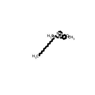 CCCCCCCCCCCCCCCCN(C)CCN(Cc1ccc(OC)cc1)c1ncccn1